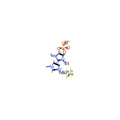 CCCC[n+]1ccn(C)c1.CC[n+]1ccn(C)c1.F[B-](F)(F)F.O=S(=O)([O-])[O-].[H+]